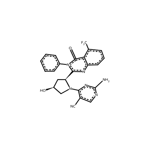 N#Cc1cnc(N)nc1N1C[C@@H](O)C[C@H]1c1nc2cccc(C(F)(F)F)c2c(=O)n1-c1ccccc1